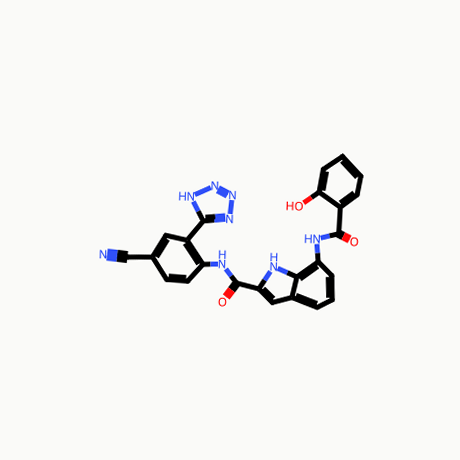 N#Cc1ccc(NC(=O)c2cc3cccc(NC(=O)c4ccccc4O)c3[nH]2)c(-c2nnn[nH]2)c1